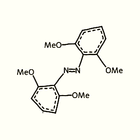 COc1c[c]cc(OC)c1/N=N/c1c(OC)cccc1OC